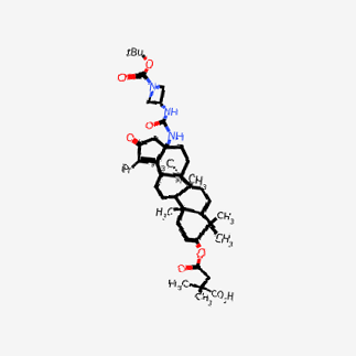 CC(C)C1=C2C3CCC4C5(C)CCC(OC(=O)CC(C)(C)C(=O)O)C(C)(C)C5CCC4(C)[C@]3(C)CCC2(NC(=O)NC2CN(C(=O)OC(C)(C)C)C2)CC1=O